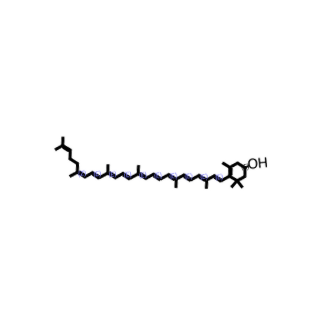 CC(C)=CCC\C(C)=C/C=C/C(C)=C/C=C/C(C)=C/C=C/C=C(C)/C=C/C=C(C)/C=C/C1=C(C)C[C@@H](O)CC1(C)C